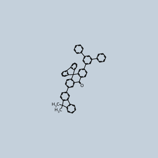 CC1(C)c2ccccc2-c2cc(-c3ccc4c(c3)C(=O)c3ccc(-c5cc(-c6ccccc6)cc(-c6ccccc6)c5)cc3C43c4ccccc4-c4ccccc43)ccc21